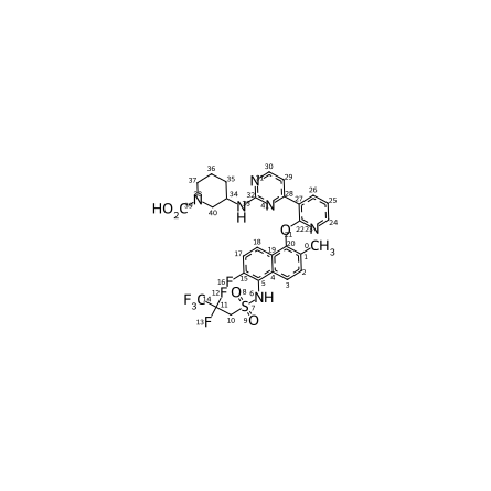 Cc1ccc2c(NS(=O)(=O)CC(F)(F)C(F)(F)F)c(F)ccc2c1Oc1ncccc1-c1ccnc(NC2CCCN(C(=O)O)C2)n1